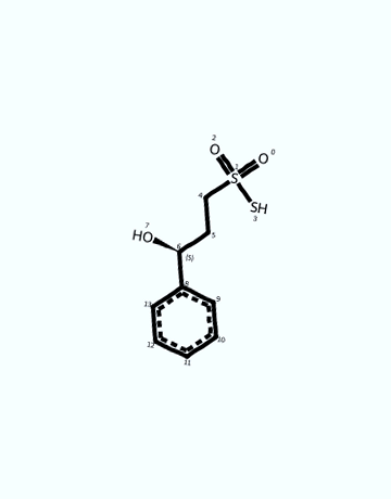 O=S(=O)(S)CC[C@H](O)c1ccccc1